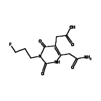 NC(=O)Cc1[nH]c(=O)n(CCCF)c(=O)c1CC(=O)O